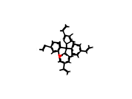 FC(F)=C(F)C1=C(F)C(C(c2c(F)c(F)c(C(F)=C(F)F)c(F)c2F)(c2c(F)c(F)c(C(F)=C(F)F)c(F)c2F)c2c(F)c(F)c(C(F)=C(F)F)c(F)c2F)C(F)=C1F